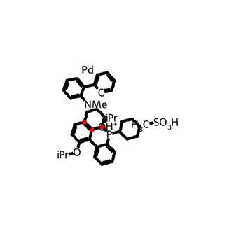 CC(C)Oc1cccc(OC(C)C)c1-c1ccccc1[PH+](C1CCCCC1)C1CCCCC1.CNc1ccccc1-c1[c-]cccc1.CS(=O)(=O)O.[Pd]